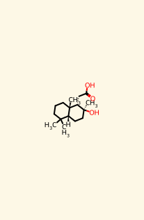 CC1(C)CCC[C@@]2(C)[C@@H]1CC[C@](C)(O)[C@H]2CC(=O)O